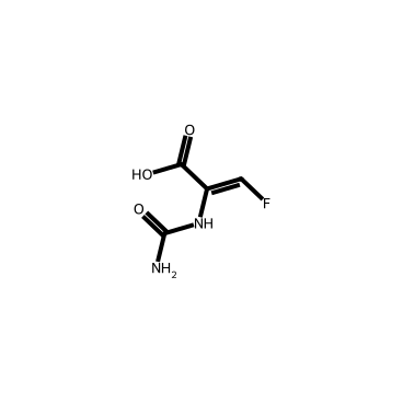 NC(=O)NC(=CF)C(=O)O